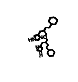 c1nc(CC(CCC2CCCCC2)COCC(CCC2CCCCC2)Cc2c[nH]cn2)c[nH]1